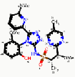 CNC1=NC(c2nnc(NS(=O)(=O)[C@@H](C)[C@H](OC)c3ncc(C)cn3)n2-c2c(O)cccc2OC)=C=C=C1